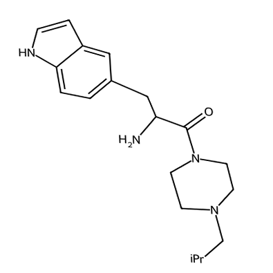 CC(C)CN1CCN(C(=O)C(N)Cc2ccc3[nH]ccc3c2)CC1